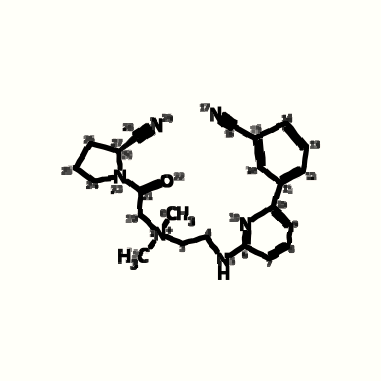 C[N+](C)(CCNc1cccc(-c2cccc(C#N)c2)n1)CC(=O)N1CCC[C@H]1C#N